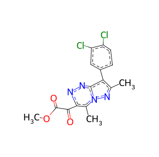 COC(=O)C(=O)c1nnc2c(-c3ccc(Cl)c(Cl)c3)c(C)nn2c1C